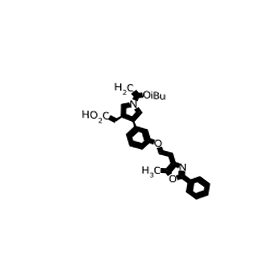 C=C(OCC(C)C)N1C[C@H](CC(=O)O)[C@H](c2cccc(OCCc3nc(-c4ccccc4)oc3C)c2)C1